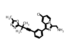 Cc1nnc(C(C)(C)C#Cc2cccc(-c3nc(CN)n4ccc(Cl)cc34)c2)o1